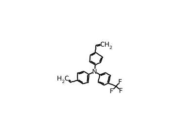 C=Cc1ccc(N(c2ccc(C=C)cc2)c2ccc(C(F)(F)F)cc2)cc1